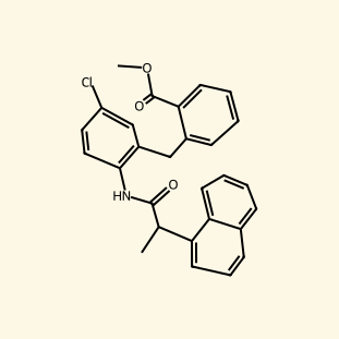 COC(=O)c1ccccc1Cc1cc(Cl)ccc1NC(=O)C(C)c1cccc2ccccc12